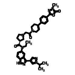 CCN(C(=O)[C@@H]1CCN(CC(=O)N2CC=C(c3ccc(-c4nn(C)c(=O)o4)cc3)CC2)C1)c1ccc2[nH]nc(-c3cnn(C(C)C)c3)c2c1